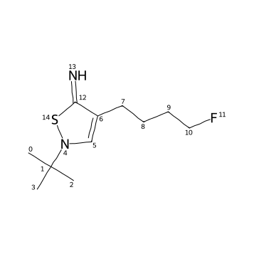 CC(C)(C)n1cc(CCCCF)c(=N)s1